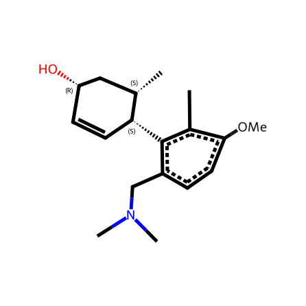 COc1ccc(CN(C)C)c([C@@H]2C=C[C@H](O)C[C@@H]2C)c1C